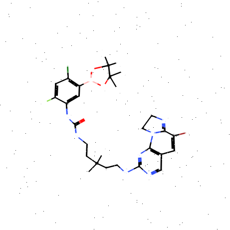 CC(C)(CCNC(=O)Nc1cc(B2OC(C)(C)C(C)(C)O2)c(Cl)cc1F)CCNc1ncc2c(n1)N1CCN=C1C(Br)=C2